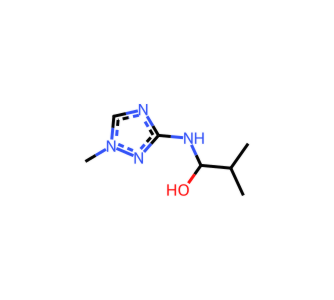 CC(C)C(O)Nc1ncn(C)n1